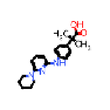 CC(C)(C(=O)O)c1ccc(Nc2cccc(N3CCCCC3)n2)cc1